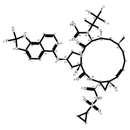 C[C@H]1CCC=C[C@@H]2C[C@@]2(C(=O)NS(=O)(=O)C2CC2)NC(=O)[C@@H]2C[C@@H](Oc3nccc4c5c(ccc34)OC(F)(F)O5)CN2C(=O)[C@@H](N(C(=O)O)C(C)(C)C(F)(F)F)[C@H](C)C1